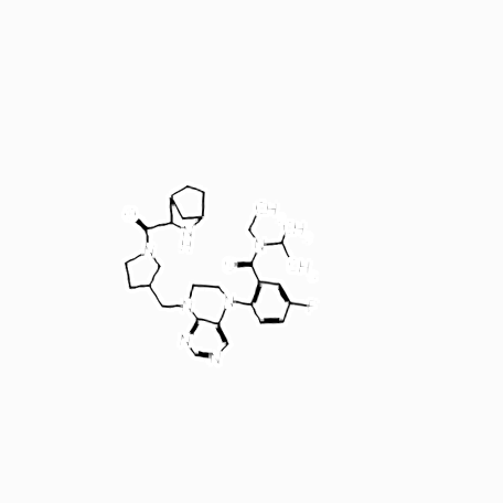 CCN(C(=O)c1cc(F)ccc1N1CCN(CC2CCN(C(=O)C3NC4CCC3C4)C2)c2ncncc21)C(C)C